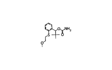 COCCSc1ccccc1C(OC(N)=O)C(C)(C)C